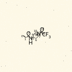 C=CC(=O)NC1CC2CC1CN2C(=O)C(F)(F)F